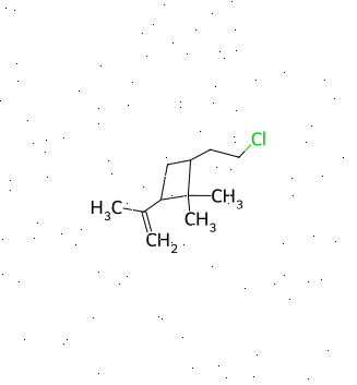 C=C(C)C1CC(CCCl)C1(C)C